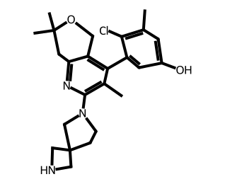 Cc1cc(O)cc(-c2c(C)c(N3CCC4(CNC4)C3)nc3c2COC(C)(C)C3)c1Cl